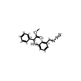 COC(=O)C(Nc1cccc(CN=[N+]=[N-])c1)c1ccccc1